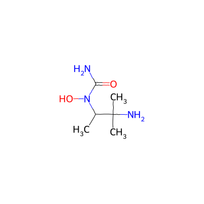 CC(N(O)C(N)=O)C(C)(C)N